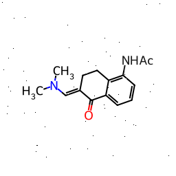 CC(=O)Nc1cccc2c1CCC(=CN(C)C)C2=O